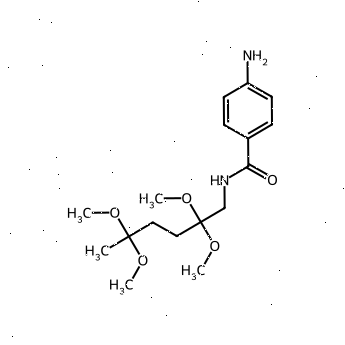 COC(C)(CCC(CNC(=O)c1ccc(N)cc1)(OC)OC)OC